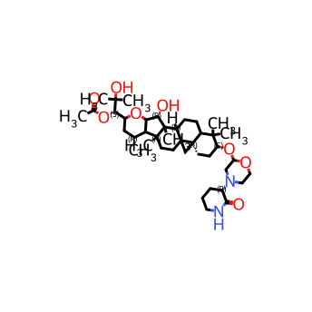 CC(=O)O[C@@H](C1C[C@@H](C)C2C(O1)[C@H](O)C1(C)[C@@H]3CCC4C(C)(C)[C@@H](OC5CN([C@@H]6CCCNC6=O)CCO5)CC[C@@]45CC35CC[C@]21C)C(C)(C)O